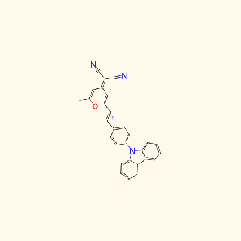 CC1=CC(=C(C#N)C#N)C=C(/C=C/c2ccc(-n3c4ccccc4c4ccccc43)cc2)O1